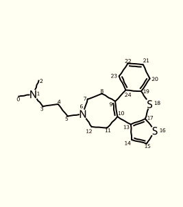 CN(C)CCCN1CCC2=C(CC1)c1ccsc1Sc1ccccc12